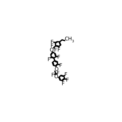 CCCc1cc(F)c(C(F)(F)Oc2cc(F)c(-c3ccc(OCC(F)(F)Oc4cc(F)c(F)c(F)c4)c(F)c3)c(F)c2)c(F)c1